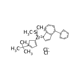 C[Si](C)=[Zr+2]([C]1=CC=C(C(C)(C)C)C1)[CH]1C=Cc2c(-c3ccccc3)cccc21.[Cl-].[Cl-]